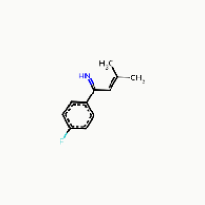 CC(C)=CC(=N)c1ccc(F)cc1